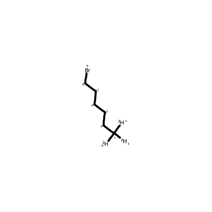 [2H]C([2H])([2H])CCCCCBr